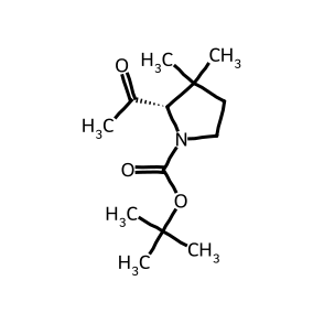 CC(=O)[C@H]1N(C(=O)OC(C)(C)C)CCC1(C)C